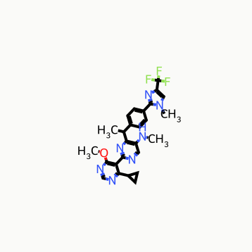 CNc1cnc(-c2c(OC)ncnc2C2CC2)nc1C(C)c1ccc(-c2nc(C(F)(F)F)cn2C)cc1